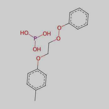 Cc1ccc(OCCOOc2ccccc2)cc1.OP(O)O